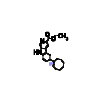 CCOC(=O)c1cc2c(cn1)[nH]c1ccc(/C3=C/CCCCCC3)cc12